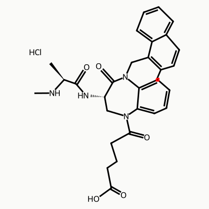 CN[C@@H](C)C(=O)N[C@H]1CN(C(=O)CCCC(=O)O)c2ccccc2N(Cc2c(C)ccc3ccccc23)C1=O.Cl